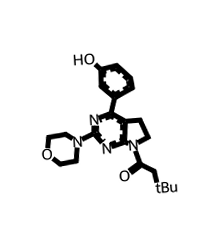 CC(C)(C)CC(=O)N1CCc2c(-c3cccc(O)c3)nc(N3CCOCC3)nc21